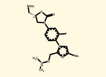 CC(=O)NC[C@H]1CN(c2ccc(-n3cc(C(C)(C)C)nc3CO[SiH](C)C)c(F)c2)C(=O)O1